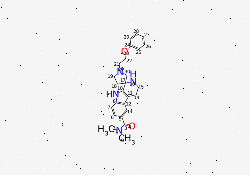 CN(C)C(=O)c1ccc2[nH]c3c(c2c1)CCNC31CCN(CCOc2ccccc2)C1